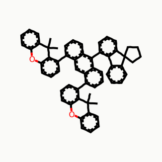 CC1(C)c2ccccc2Oc2cccc(-c3cccc4c(-c5cccc6c5-c5ccccc5C65CCCC5)c5cccc(-c6cccc7c6C(C)(C)c6ccccc6O7)c5cc34)c21